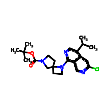 CC(C)c1cnc(N2CCC23CCN(C(=O)OC(C)(C)C)C3)c2cnc(Cl)cc12